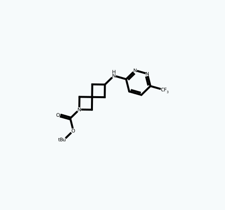 CC(C)(C)OC(=O)N1CC2(CC(Nc3ccc(C(F)(F)F)nn3)C2)C1